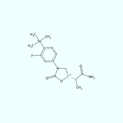 CC(C(N)=O)[C@H]1CN(c2cc[c]([Sn]([CH3])([CH3])[CH3])c(F)c2)C(=O)O1